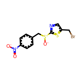 O=[N+]([O-])c1ccc(C[S+]([O-])c2ncc(CBr)s2)cc1